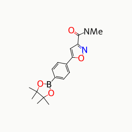 CNC(=O)c1cc(-c2ccc(B3OC(C)(C)C(C)(C)O3)cc2)on1